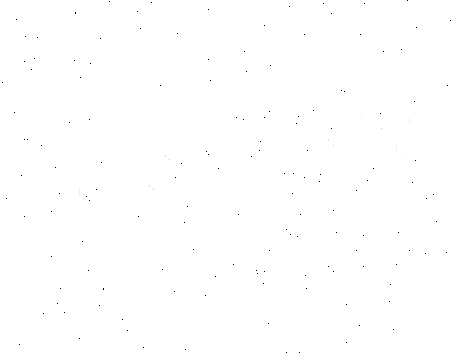 CC(C)(C)OC(=O)NCC(Cc1ccc(Oc2ccnc3c2c(I)cn3COCCS(C)(C)C)cc1)C(=O)O